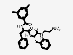 Cc1cc(C)cc(C(=O)N/C(=C/c2ccccc2)C(=O)N[C@@H](Cc2ccccc2)C(=O)NCCN)c1